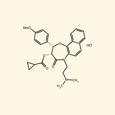 COc1ccc([C@@H]2Sc3c(ccc4ccccc34)N(CCN(C)C)C(=O)[C@@H]2OC(=O)C2CC2)cc1.Cl